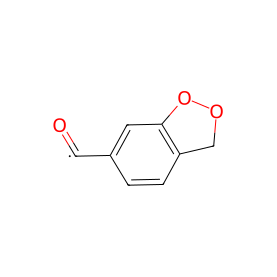 O=[C]c1ccc2c(c1)OOC2